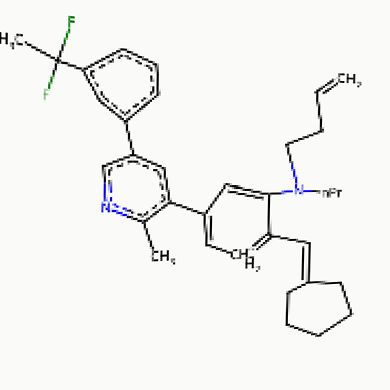 C=CCCN(CCC)/C(=C/C(=C\C)c1cc(-c2cccc(C(C)(F)F)c2)cnc1C)C(=C)C=C1CCCCC1